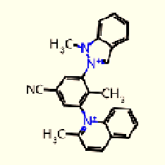 Cc1c(-[n+]2c(C)ccc3ccccc32)cc(C#N)cc1-[n+]1cc2ccccc2n1C